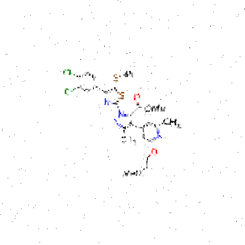 COCCOc1cc(-c2c(C)nn(-c3nc(-c4ccc(Cl)c(Cl)c4)c(SC(C)C)s3)c2C(=O)OC)cc(C)n1